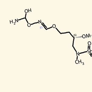 CO[C@@H](CCO/C=N/OC(N)O)CN(C)[SH](=O)=O